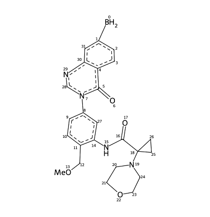 Bc1ccc2c(=O)n(-c3ccc(COC)c(NC(=O)C4(N5CCOCC5)CC4)c3)cnc2c1